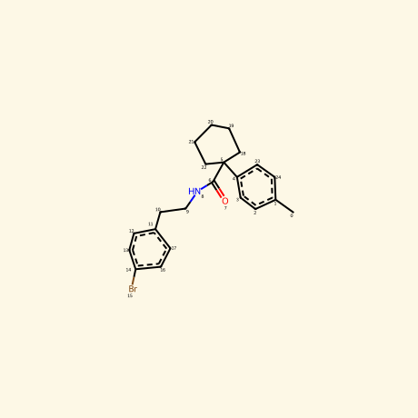 Cc1ccc(C2(C(=O)NCCc3ccc(Br)cc3)CCCCC2)cc1